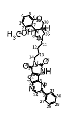 COc1cccc2c1[C@@H]1CN(CCCCn3c(=O)[nH]c4c(sc5ncc(-c6ccccc6)nc54)c3=O)C[C@H]1CO2